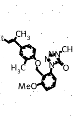 CCC=C(C)c1ccc(OCc2c(OC)cccc2-n2nnn(C)c2=O)c(C)c1